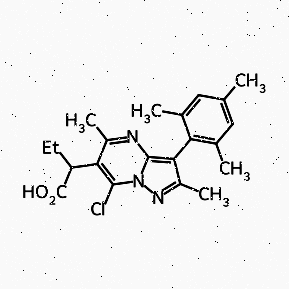 CCC(C(=O)O)c1c(C)nc2c(-c3c(C)cc(C)cc3C)c(C)nn2c1Cl